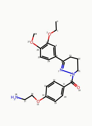 CCOc1cc(C2=NN(C(=O)c3ccc(OCCN)cc3)CCC2)ccc1OC